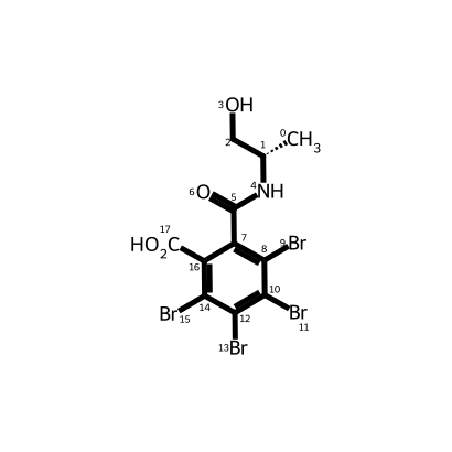 C[C@@H](CO)NC(=O)c1c(Br)c(Br)c(Br)c(Br)c1C(=O)O